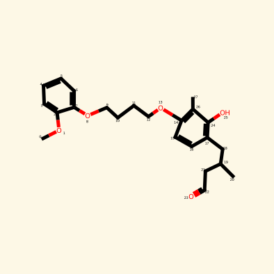 COc1ccccc1OCCCCOc1ccc(CC(C)CC=O)c(O)c1C